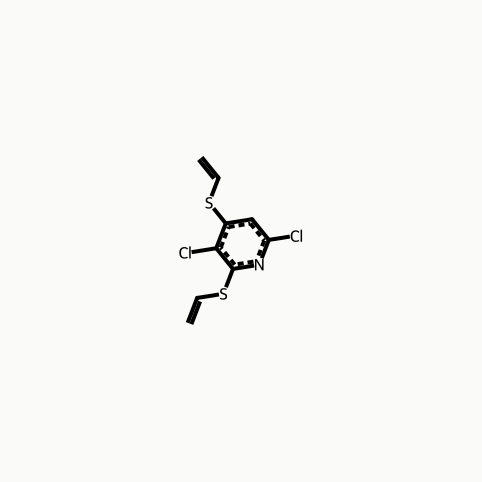 C=CSc1cc(Cl)nc(SC=C)c1Cl